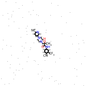 CC(O)(CN1CCN(c2ccc(C#N)nc2)CC1)C(=O)Nc1ccc(C#N)c(C(F)(F)F)c1